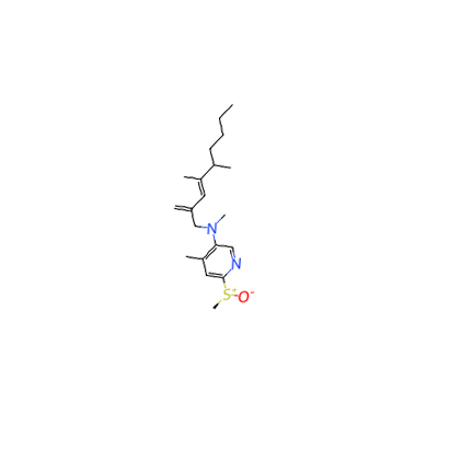 C=C(/C=C(\C)C(C)CCCC)CN(C)c1cnc([S@+](C)[O-])cc1C